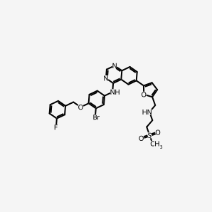 CS(=O)(=O)CCNCc1ccc(-c2ccc3ncnc(Nc4ccc(OCc5cccc(F)c5)c(Br)c4)c3c2)o1